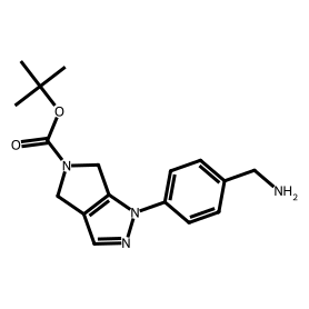 CC(C)(C)OC(=O)N1Cc2cnn(-c3ccc(CN)cc3)c2C1